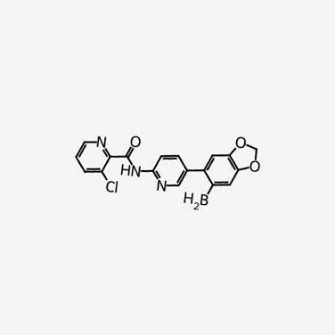 Bc1cc2c(cc1-c1ccc(NC(=O)c3ncccc3Cl)nc1)OCO2